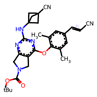 Cc1cc(/C=C/C#N)cc(C)c1Oc1nc(NC23CC(C#N)(C2)C3)nc2c1CN(C(=O)OC(C)(C)C)C2